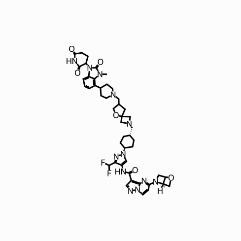 Cn1c(=O)n(C2CCC(=O)NC2=O)c2cccc(C3CCN(CC4COC5(C4)CN(C[C@H]4CC[C@H](n6cc(NC(=O)c7cnn8ccc(N9CC%10OC[C@@H]%109)nc78)c(C(F)F)n6)CC4)C5)CC3)c21